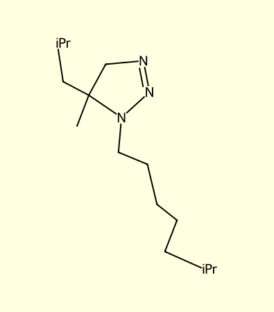 CC(C)CCCCCN1N=NCC1(C)CC(C)C